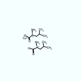 CC(C)C[C@H](N)C(=O)[O-].CC(C)C[C@H](N)C(=O)[O-].[Cu+2]